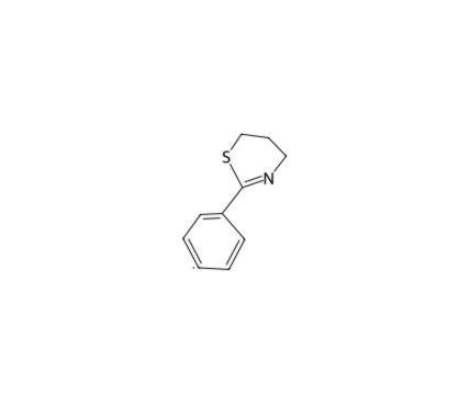 [c]1ccc(C2=NCCCS2)cc1